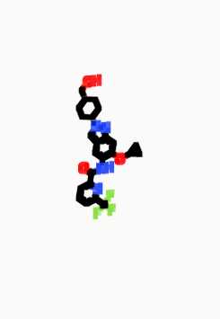 O=C(Nc1cc2cn([C@H]3CC[C@H](CO)CC3)nc2cc1OC1CC1)c1cccc(C(F)(F)F)n1